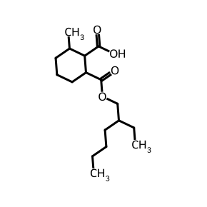 CCCCC(CC)COC(=O)C1CCCC(C)C1C(=O)O